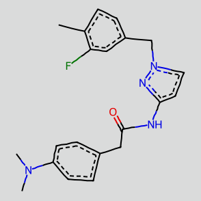 Cc1ccc(Cn2ccc(NC(=O)Cc3ccc(N(C)C)cc3)n2)cc1F